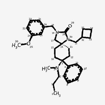 CCCN(C)[C@]1(c2ccccc2)CC[C@]2(CC1)CN(Cc1cccc(OC)c1)C(=O)N2CC1CCC1